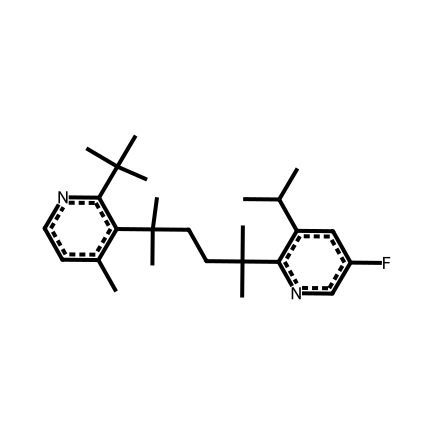 Cc1ccnc(C(C)(C)C)c1C(C)(C)CCC(C)(C)c1ncc(F)cc1C(C)C